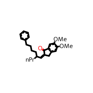 CCCC(C=C1Cc2cc(OC)c(OC)cc2C1=O)CCCCc1ccccc1